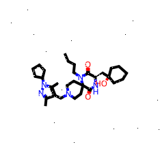 CCCCN1C(=O)[C@@H](CC2(O)CCCCC2)NC(=O)C12CCN(Cc1c(C)nn(C3CCCC3)c1C)CC2